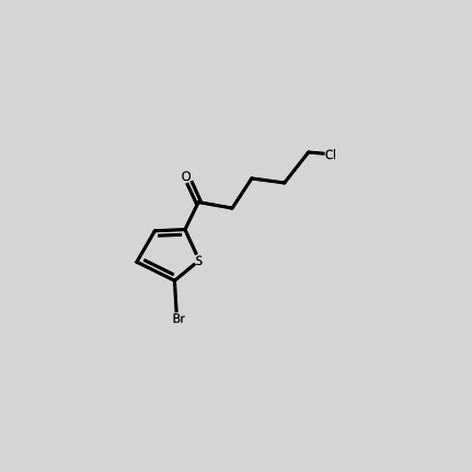 O=C(CCCCCl)c1ccc(Br)s1